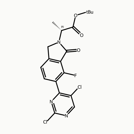 C[C@H](C(=O)OC(C)(C)C)N1Cc2ccc(-c3nc(Cl)ncc3Cl)c(F)c2C1=O